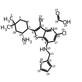 CC1(C)CC[C@@H](c2sc3c(NCc4cccs4)cc(Cl)nc3c2Br)[C@H](N)C1.O=CO